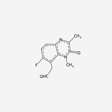 Cc1nc2ccc(F)c(CC=O)c2n(C)c1=O